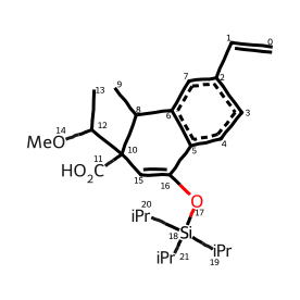 C=Cc1ccc2c(c1)C(C)C(C(=O)O)(C(C)OC)C=C2O[Si](C(C)C)(C(C)C)C(C)C